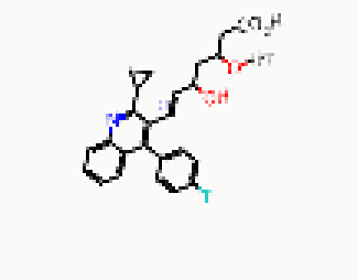 CC(C)OC(CC(=O)O)CC(O)/C=C/c1c(C2CC2)nc2ccccc2c1-c1ccc(F)cc1